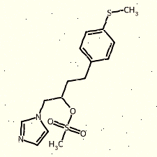 CSc1ccc(CCC(Cn2ccnc2)OS(C)(=O)=O)cc1